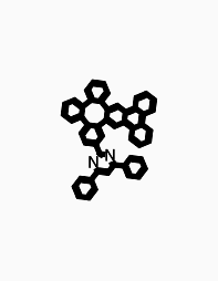 c1ccc(-c2cc(-c3ccccc3)nc(-c3ccc4c(c3)-c3cc5c6ccccc6c6ccccc6c5cc3-c3ccccc3-c3ccccc3-4)n2)cc1